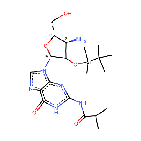 CC(C)C(=O)Nc1nc2c(ncn2[C@@H]2O[C@H](CO)[C@@H](N)C2O[Si](C)(C)C(C)(C)C)c(=O)[nH]1